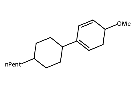 CCCCCC1CCC(C2=CCC(OC)C=C2)CC1